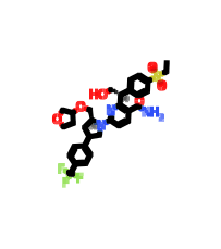 CCS(=O)(=O)c1ccc([C@@H](CO)c2nc(N3CC(c4ccc(C(F)(F)F)cc4)C[C@H]3COC3CCOC3)ccc2C(N)=O)cc1